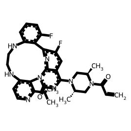 C=CC(=O)N1C[C@H](C)N(c2nc(=O)n3c4nc(c(F)cc24)-c2c(F)cccc2NCCNc2ccnc(C(C)C)c2-3)C[C@H]1C